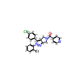 CCc1ccccc1-n1nc2c(c1-c1ccc(Cl)cc1)CN(C(=O)c1ccncc1)C2